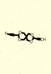 C#CC1OCC2(CO1)COC(C#CF)OC2